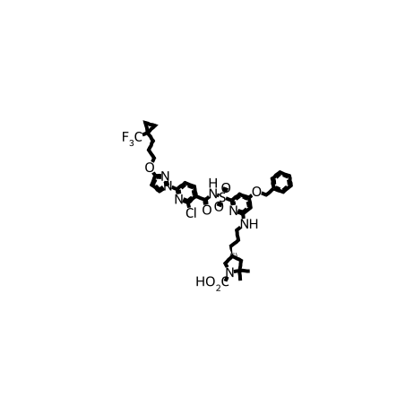 CC1(C)C[C@H](CCCNc2cc(OCc3ccccc3)cc(S(=O)(=O)NC(=O)c3ccc(-n4ccc(OCCCC5(C(F)(F)F)CC5)n4)nc3Cl)n2)CN1C(=O)O